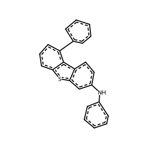 c1ccc(Nc2ccc3c(c2)sc2cccc(-c4ccccc4)c23)cc1